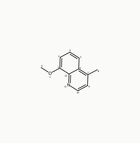 COc1cccc2c(C)c[c]nc12